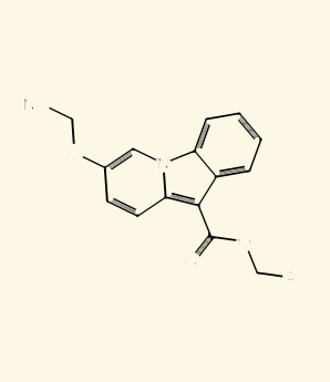 CC(=O)COC(=O)c1c2ccccc2n2cc(OCC#N)ccc12